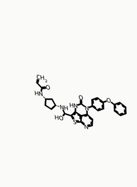 C=CC(=O)N[C@H]1CC[C@@H](NC(O)c2sc3nccc4c3c2NC(=O)N4c2ccc(Oc3ccccc3)cc2)C1